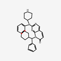 O=c1ccc2cnc(N(c3ccccc3)C3CCNCC3)nc2n1C(c1ccccc1)C1CCCCC1